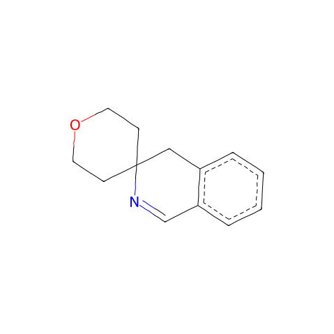 C1=NC2(CCOCC2)Cc2ccccc21